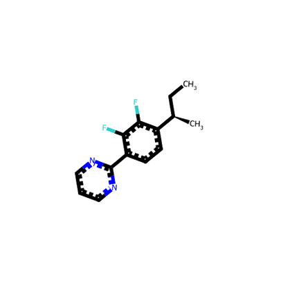 CC[C@@H](C)c1ccc(-c2ncccn2)c(F)c1F